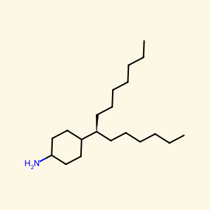 CCCCCCC[C@@H](CCCCCC)C1CCC(N)CC1